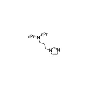 CCCN(CCC)CCCn1ccnc1